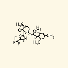 Cc1cc(C)c(OC(=O)OC2CCN(C)C(=O)N2c2nnc(C(F)(F)F)s2)c(C)c1